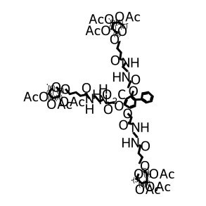 CC(=O)O[C@@H]1[C@@H](OC(C)=O)[C@H](C)O[C@@H](OCCCC(=O)NCCNC(=O)COc2cc(-c3ccccc3)c(OCC(=O)NCCNC(=O)CCCO[C@@H]3O[C@@H](C)[C@H](OC(C)=O)[C@@H](OC(C)=O)[C@H]3OC(C)=O)c(C(=O)O)c2OCC(=O)NCCNC(=O)CCCO[C@@H]2O[C@@H](C)[C@H](OC(C)=O)[C@@H](OC(C)=O)[C@H]2OC(C)=O)[C@@H]1OC(C)=O